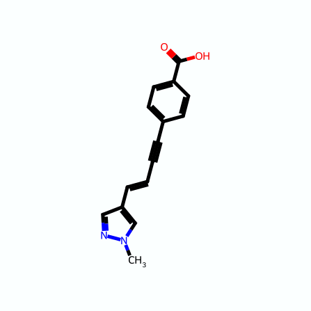 Cn1cc(C=CC#Cc2ccc(C(=O)O)cc2)cn1